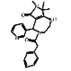 CN1C(=O)C2=C(NCCN(C(=O)Cc3ccccc3)C2c2cccnc2)C1(C)C